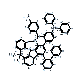 Cc1ccc(N2B3c4cccc5c4-n4c6c(cccc6c6c(-c7ccccc7-c7ccccc7)cc(c3c64)-c3ccc(N(c4ccccc4)c4ccccc4)cc32)C5(C)C)cc1